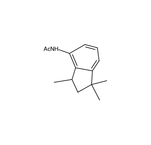 CC(=O)Nc1cccc2c1C(C)CC2(C)C